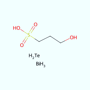 O=S(=O)(O)CCCO.[BiH3].[TeH2]